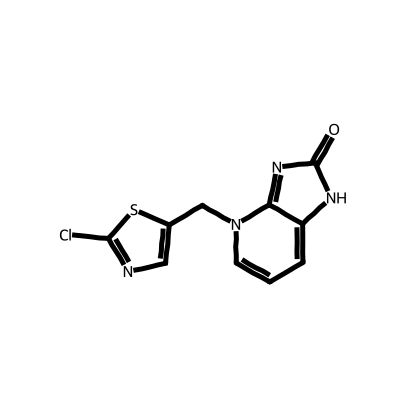 O=c1nc2n(Cc3cnc(Cl)s3)cccc-2[nH]1